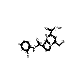 COC(=O)c1cc(CBr)n2ccc(C(=O)Nc3ccccc3Cl)c2n1